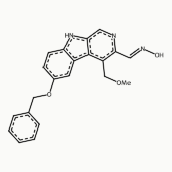 COCc1c(/C=N/O)ncc2[nH]c3ccc(OCc4ccccc4)cc3c12